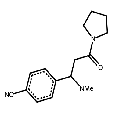 CNC(CC(=O)N1CCCC1)c1ccc(C#N)cc1